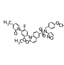 COc1ccc(CN(c2ccon2)S(=O)(=O)c2ccc3c(ccc(=O)n3-c3cc(F)c(-n4ccc(C)cc4=O)cc3OC)c2)cc1